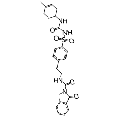 CC1=CCC(NC(=O)NS(=O)(=O)c2ccc(CCNC(=O)N3Cc4ccccc4C3=O)cc2)CC1